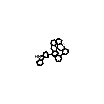 c1ccc(-c2cccc3c2CC2(c4ccccc4Cc4c(-c5ccc6[nH]c7ccccc7c6c5)cccc42)c2ccccc2O3)cc1